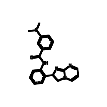 CN(C)c1cccc(C(=O)Nc2ccccc2C2CN3C=CC=NC3=N2)c1